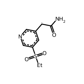 CCS(=O)(=O)c1cncc([CH]C(N)=O)c1